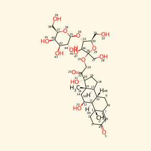 C[C@]12CCC(=O)C=C1CC[C@@H]1[C@@H]2[C@@H](O)C[C@@]2(C)[C@H]1CC[C@]2(O)C(=O)COC1(CO)O[C@H](CO)[C@@H](O[C@@H]2O[C@H](CO)[C@H](O)[C@H](O)[C@H]2O)[C@@H]1O